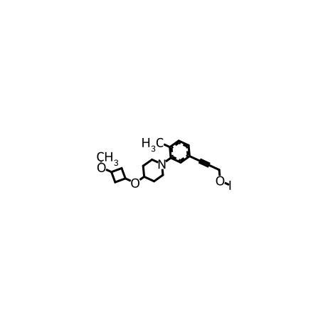 COC1CC(OC2CCN(c3cc(C#CCOI)ccc3C)CC2)C1